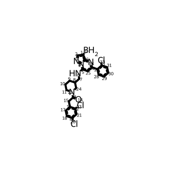 Bc1cnn2c(NCC3CCCN(C(=O)Cc4ccc(Cl)cc4Cl)C3)cc(-c3ccccc3Cl)nc12